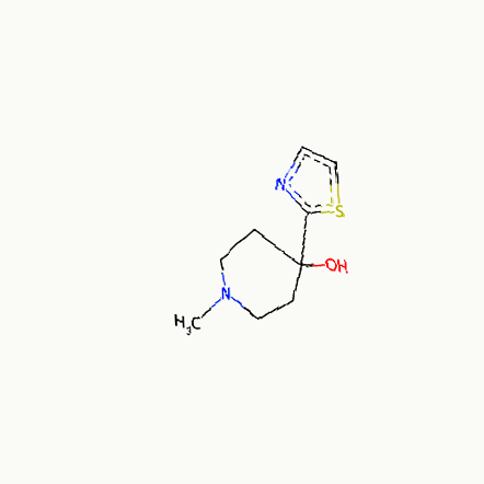 CN1CCC(O)(c2nccs2)CC1